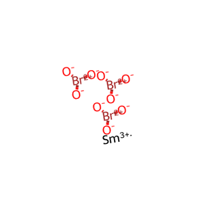 [O-][Br+2]([O-])[O-].[O-][Br+2]([O-])[O-].[O-][Br+2]([O-])[O-].[Sm+3]